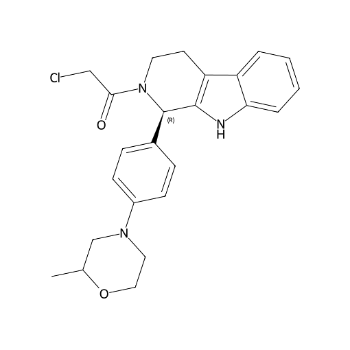 CC1CN(c2ccc([C@@H]3c4[nH]c5ccccc5c4CCN3C(=O)CCl)cc2)CCO1